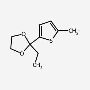 [CH2]c1ccc(C2(CC)OCCO2)s1